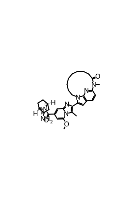 COc1cc(C(=O)N2[C@H]3CC[C@@H]2[C@H](N)C3)cc2nc(-c3cc4ccc5nc4n3CCCCCCCCC(=O)N5C)c(C)n12